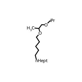 [CH2]C(C)OCC(C)OCCCCCCCCCCCC